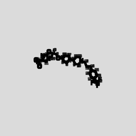 C[C@]1(COc2ccc(C3CCN(CC=Cc4ccc(C(F)(F)F)cc4)CC3)cc2)Cn2cc([N+](=O)[O-])nc2O1